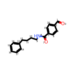 O=Cc1ccc(C(=O)NCCCCc2ccccc2)cc1